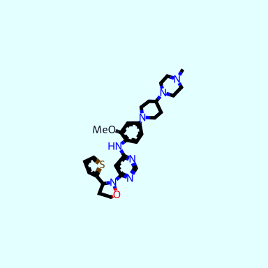 COc1cc(N2CCC(N3CCN(C)CC3)CC2)ccc1Nc1cc(N2OCCC2c2cccs2)ncn1